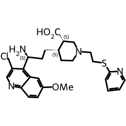 COc1ccc2ncc(Cl)c([C@@H](N)CC[C@H]3CCN(CCSc4ccccn4)C[C@H]3C(=O)O)c2c1